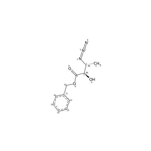 C[C@@H](N=[N+]=[N-])[C@@H](O)C(=O)OCc1ccccc1